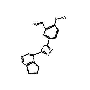 CC(C)Oc1ccc(-c2nnc(-c3cccc4c3CCC4)s2)cc1C=N